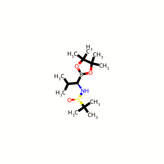 CC(C)[C@H](N[S@+]([O-])C(C)(C)C)B1OC(C)(C)C(C)(C)O1